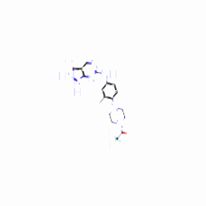 Cc1cc(Nc2ncc3c(=O)[nH][nH]c3n2)ccc1N1CCN(C(=O)C(F)(F)F)CC1